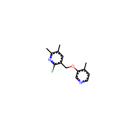 Cc1ccncc1OCc1cc(C)c(C)nc1F